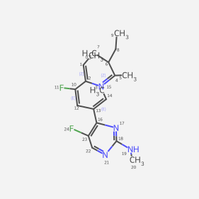 C/C=C(\N=C(\C)C(C)CC)C(/F)=C\C(=C/C)c1nc(NC)ncc1F